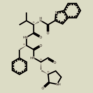 CC(C)[C@H](NC(=O)c1cc2ccccc2s1)C(=O)N[C@@H](Cc1ccccc1)C(=O)N[C@H](C=O)C[C@@H]1CCNC1=O